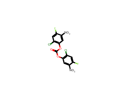 O=C(Oc1cc([N+](=O)[O-])c(F)cc1Cl)Oc1cc([N+](=O)[O-])c(F)cc1Cl